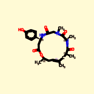 C/C1=C\C[C@@H](C)OC(=O)C[C@H](c2ccc(O)cc2)NC(=O)CN(C)C(=O)[C@H](C)NC(=O)[C@@H](C)C1